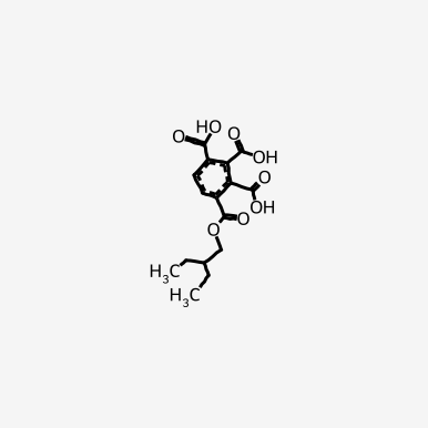 CCC(CC)COC(=O)c1ccc(C(=O)O)c(C(=O)O)c1C(=O)O